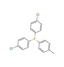 Cc1ccc(P(c2ccc(Cl)cc2)c2ccc(Cl)cc2)cc1